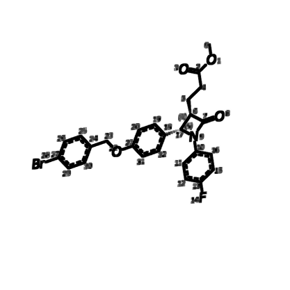 COC(=O)CC[C@H]1C(=O)N(c2ccc(F)cc2)[C@@H]1c1ccc(OCc2ccc(Br)cc2)cc1